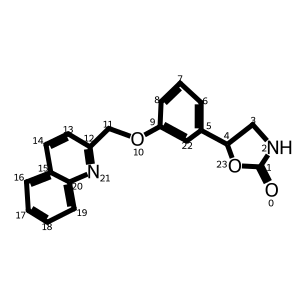 O=C1NCC(c2cccc(OCc3ccc4ccccc4n3)c2)O1